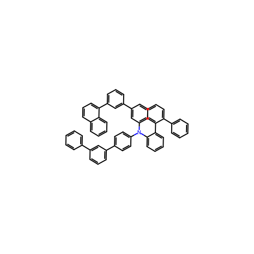 c1ccc(-c2cccc(-c3ccc(N(c4cccc(-c5cccc(-c6cccc7ccccc67)c5)c4)c4ccccc4-c4ccccc4-c4ccccc4)cc3)c2)cc1